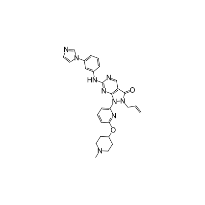 C=CCn1c(=O)c2cnc(Nc3cccc(-n4ccnc4)c3)nc2n1-c1cccc(OC2CCN(C)CC2)n1